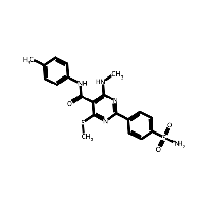 CNc1nc(-c2ccc(S(N)(=O)=O)cc2)nc(SC)c1C(=O)Nc1ccc(C)cc1